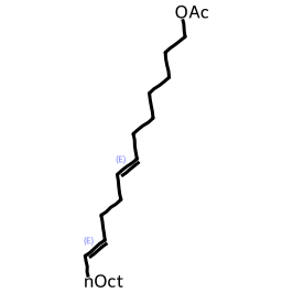 CCCCCCCC/C=C/CC/C=C/CCCCCCOC(C)=O